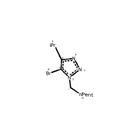 CCCCCCn1nnc(C(C)C)c1Br